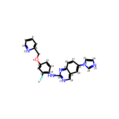 Fc1cc(OCc2ccccn2)ccc1Nc1ncc2cc(-n3ccnc3)ccc2n1